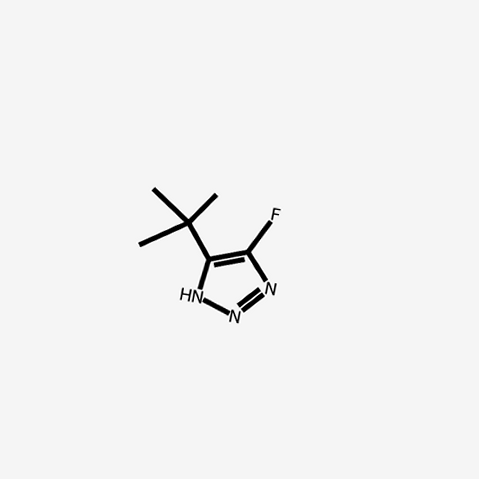 CC(C)(C)c1[nH]nnc1F